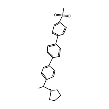 CC(c1ccc(-c2ccc(-c3ccc(S(C)(=O)=O)cc3)cc2)cc1)N1CCCC1